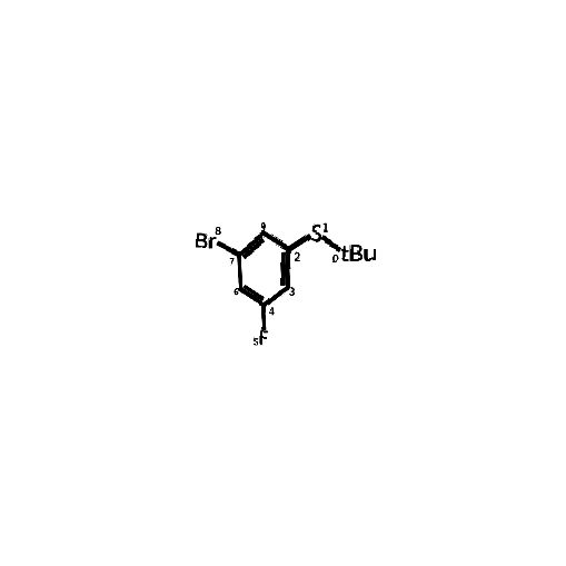 CC(C)(C)Sc1cc(F)cc(Br)c1